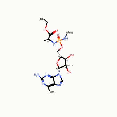 CCCCCNP(=O)(N[C@@H](C)C(=O)OCC(C)(C)C)OC[C@H]1O[C@@H](n2cnc3c(OC)nc(N)nc32)[C@](C)(O)[C@@H]1O